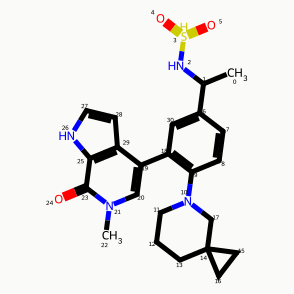 CC(N[SH](=O)=O)c1ccc(N2CCCC3(CC3)C2)c(-c2cn(C)c(=O)c3[nH]ccc23)c1